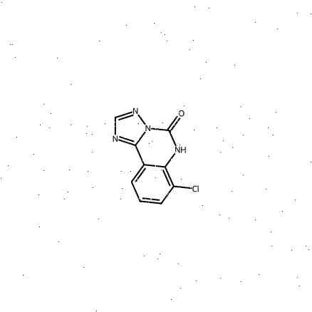 O=c1[nH]c2c(Cl)cccc2c2ncnn12